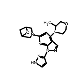 CC1COCCN1c1cc(N2CC3CC(C2)O3)nc2c1cnn2-c1cc[nH]n1